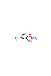 Cc1ccc(ON)c(N=O)c1